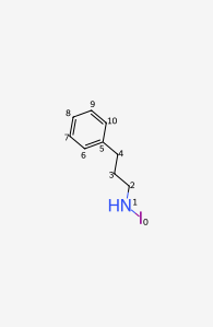 INCCCc1ccccc1